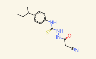 CCC(C)c1ccc(NC(=S)NNC(=O)CC#N)cc1